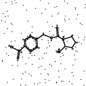 O=C(OCc1ccc([N+](=O)[O-])cc1)N1CCCC1S